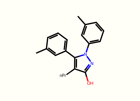 CCCc1c(O)nn(-c2cccc(C)c2)c1-c1cccc(C)c1